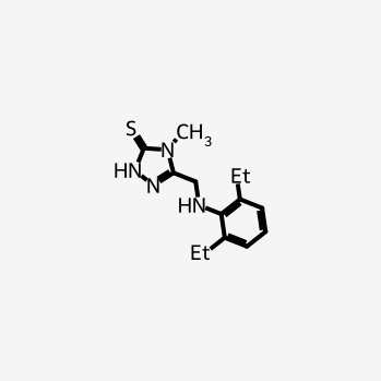 CCc1cccc(CC)c1NCc1n[nH]c(=S)n1C